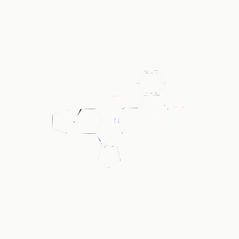 CN(C(=O)Cc1ccccc1[N+](=O)[O-])[C@H]1CC[C@]2(CCCO2)C[C@@H]1N1CCCC1